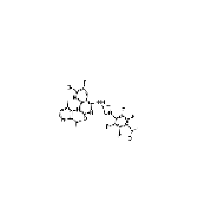 Cc1ccnc(C(C)C)c1-n1c(=O)nc(NC2CN(c3c(F)c(F)c([S+](C)[O-])c(F)c3F)C2)c2cc(F)c(Cl)nc21